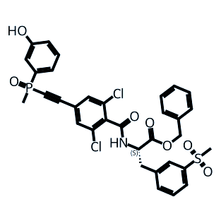 CP(=O)(C#Cc1cc(Cl)c(C(=O)N[C@@H](Cc2cccc(S(C)(=O)=O)c2)C(=O)OCc2ccccc2)c(Cl)c1)c1cccc(O)c1